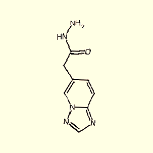 NNC(=O)Cc1ccc2ncnn2c1